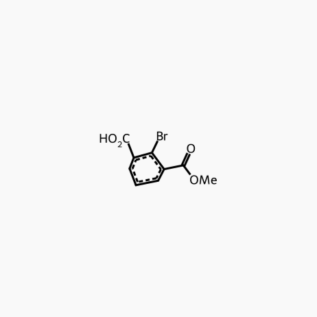 COC(=O)c1cccc(C(=O)O)c1Br